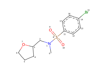 CN(CC1CCCO1)S(=O)(=O)c1ccc(Br)cc1